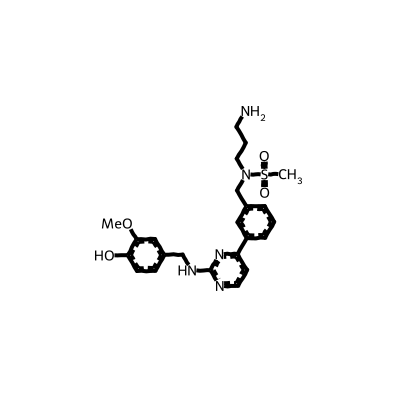 COc1cc(CNc2nccc(-c3cccc(CN(CCCN)S(C)(=O)=O)c3)n2)ccc1O